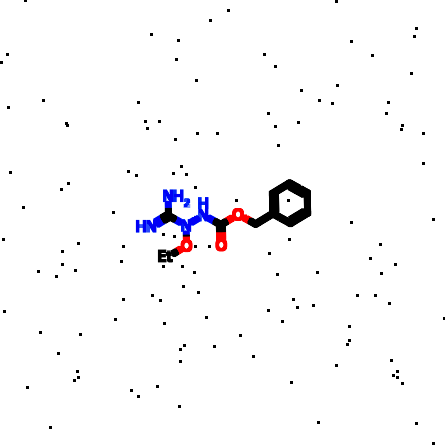 CCON(NC(=O)OCc1ccccc1)C(=N)N